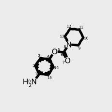 Nc1ccc(OC(=O)N2CCCCC2)cc1